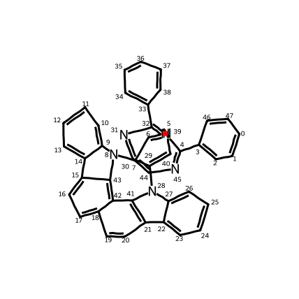 c1ccc(-c2ncc(-n3c4ccccc4c4ccc5ccc6c7ccccc7n(-c7cnc(-c8ccccc8)nc7)c6c5c43)cn2)cc1